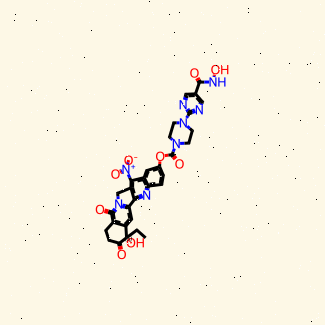 CC[C@@]1(O)C(=O)CCc2c1cc1n(c2=O)Cc2c-1nc1ccc(OC(=O)N3CCN(c4ncc(C(=O)NO)cn4)CC3)cc1c2[N+](=O)[O-]